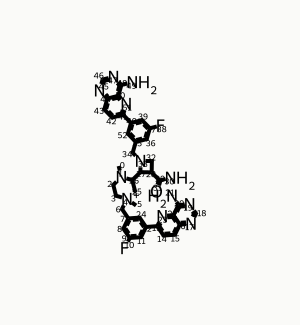 CN1CC[N+](C)(Cc2cc(F)cc(-c3ccc4ncnc(N)c4n3)c2)CC1C1C(C(N)=O)CN1Cc1cc(F)cc(-c2ccc3ncnc(N)c3n2)c1